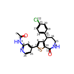 CC(=O)Nc1cc(-c2cc3c(s2)C(=O)NCCC3c2ccc(Cl)cc2)ccn1